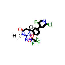 CN1C(=O)CC(C)(c2cccc(-c3cc(Cl)ncc3F)c2)N(OC(=O)C(F)(F)F)C1N